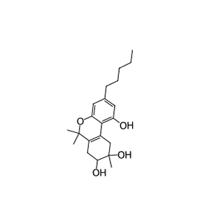 CCCCCc1cc(O)c2c(c1)OC(C)(C)C1=C2CC(C)(O)C(O)C1